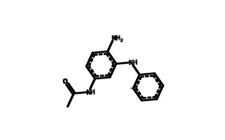 CC(=O)Nc1ccc(N)c(Nc2[c]cccc2)c1